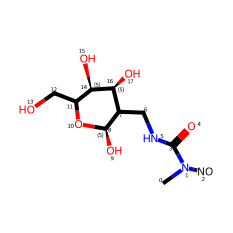 CN(N=O)C(=O)NCC1[C@@H](O)OC(CO)[C@@H](O)[C@H]1O